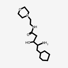 NC(CC1CCCCC1)C(O)CC(=O)NCCN1CCOCC1